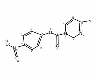 CC1=NCN(C(=O)Oc2ccc([N+](=O)[O-])cc2)C=C1